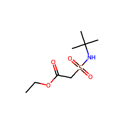 CCOC(=O)CS(=O)(=O)NC(C)(C)C